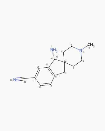 CN1CCC2(CC1)Cc1ccc(C#N)cc1[C@@H]2N